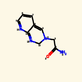 NC(=O)CN1C=c2cccnc2=NC1